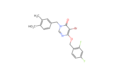 Cc1cc(Cn2cnc(OCc3ccc(F)cc3F)c(Br)c2=O)ccc1C(=O)O